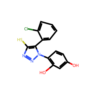 Oc1ccc(-n2nnc(S)c2-c2ccccc2Cl)c(O)c1